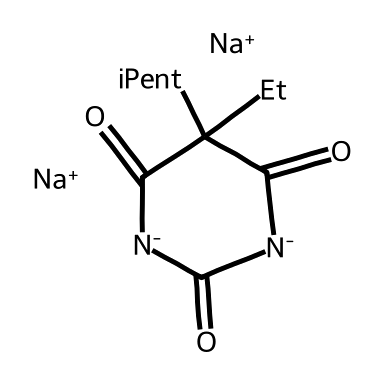 CCCC(C)C1(CC)C(=O)[N-]C(=O)[N-]C1=O.[Na+].[Na+]